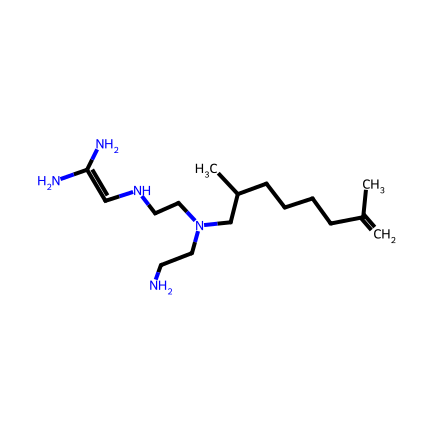 C=C(C)CCCCC(C)CN(CCN)CCNC=C(N)N